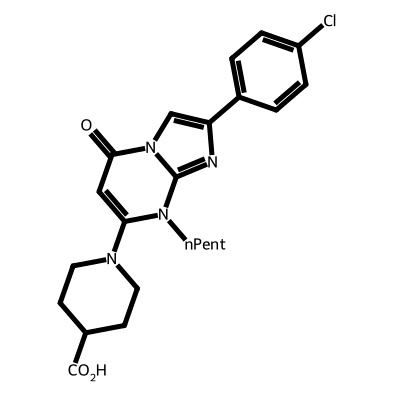 CCCCCn1c(N2CCC(C(=O)O)CC2)cc(=O)n2cc(-c3ccc(Cl)cc3)nc12